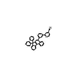 N#Cc1ccnc(-c2cccc(-c3cc4c(c5ccccc35)-c3ccccc3C4(c3ccccc3)c3ccccc3)c2)c1